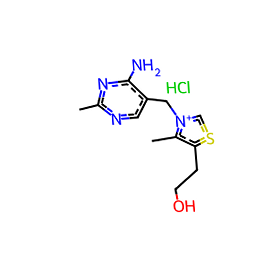 Cc1ncc(C[n+]2csc(CCO)c2C)c(N)n1.Cl